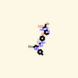 Cc1ccc(-n2nc(C(C)(C)C)cc2NC(=O)Nc2ccc(Oc3ccnc4c3NC(O)C(CBr)=N4)cc2F)cc1